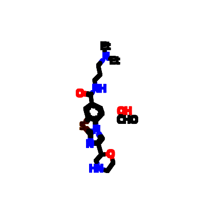 CCN(CC)CCCNC(=O)c1ccc2c(c1)sc1nc(C3CNCCO3)cn12.O=CO